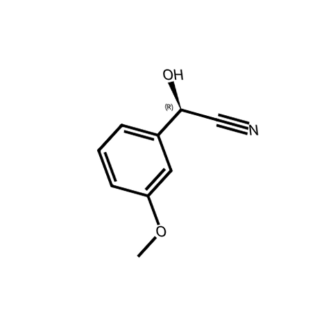 COc1cccc([C@@H](O)C#N)c1